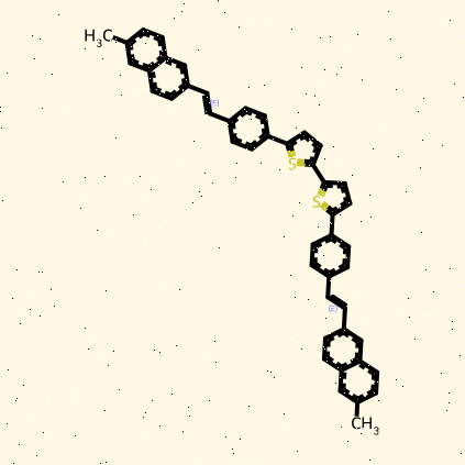 Cc1ccc2cc(/C=C/c3ccc(-c4ccc(-c5ccc(-c6ccc(/C=C/c7ccc8cc(C)ccc8c7)cc6)s5)s4)cc3)ccc2c1